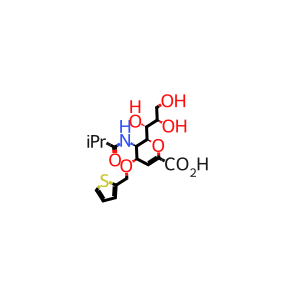 CC(C)C(=O)N[C@H]1[C@H]([C@H](O)[C@H](O)CO)OC(C(=O)O)=C[C@H]1OCc1cccs1